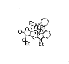 CCOC(=O)C1(Sc2nc3ccccc3n2CC)OC(=O)C(OCC)=C1Sc1nc2ccccc2n1CC